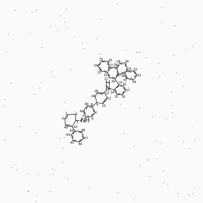 C1=CCC(Nc2ccc(C3C=CC(Nc4ccccc4-c4cc5ccccc5c5ccc6ccccc6c45)=CC3)cc2)C(c2ccccc2)=C1